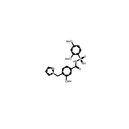 COc1ccc(S(=N)(=O)NC(=O)c2ccc(Cn3cccn3)c(OC)c2)c(OC)c1